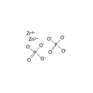 O=P([O-])([O-])[O-].O=P([O-])([O-])[O-].[Zn+2].[Zr+4]